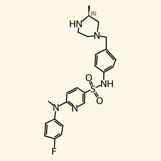 C[C@H]1CN(Cc2ccc(NS(=O)(=O)c3ccc(N(C)c4ccc(F)cc4)nc3)cc2)CCN1